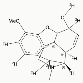 [2H]OC1([2H])C=C[C@]2([2H])[C@@]34CCN(C)[C@]2([2H])C([2H])([2H])c2c([2H])c([2H])c(OC)c(c23)OC14